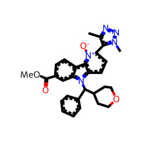 COC(=O)c1ccc2c(c1)n(C(c1ccccc1)C1CCOCC1)c1ccc(-c3c(C)nnn3C)[n+]([O-])c21